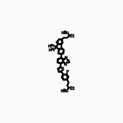 CCCCC(CC)CCc1ccc(-c2ccc(-c3ccc(-c4ccc5c(c4)C(CCC)(CCC)c4ccc(CCC(CC)CCCC)cc4-5)c4nsnc34)s2)c(F)c1